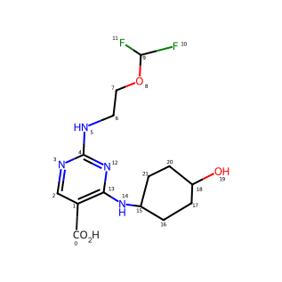 O=C(O)c1cnc(NCCOC(F)F)nc1NC1CCC(O)CC1